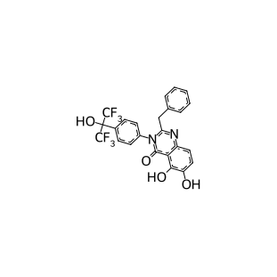 O=c1c2c(O)c(O)ccc2nc(Cc2ccccc2)n1-c1ccc(C(O)(C(F)(F)F)C(F)(F)F)cc1